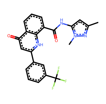 Cc1cc(NC(=O)c2cccc3c(=O)cc(-c4cccc(C(F)(F)F)c4)[nH]c23)n(C)n1